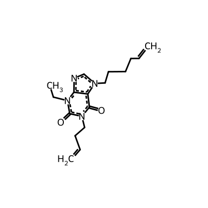 C=CCCCCn1cnc2c1c(=O)n(CCC=C)c(=O)n2CC